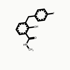 CNC(=O)c1cccc(Cc2ccc(F)cc2)c1O